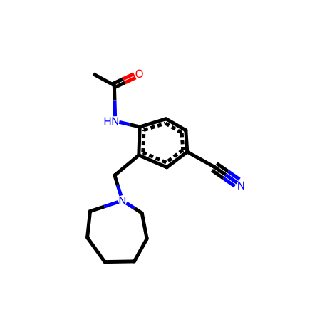 CC(=O)Nc1ccc(C#N)cc1CN1CCCCCC1